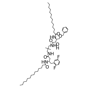 CCCCCCCCCCCCCC(=O)NC(CC(=O)NCC(C)(C)CNC(=O)C(O)C(COCc1ccccc1)NC(=O)CCCCCCCCCCCCC)Cc1cc(F)ccc1F